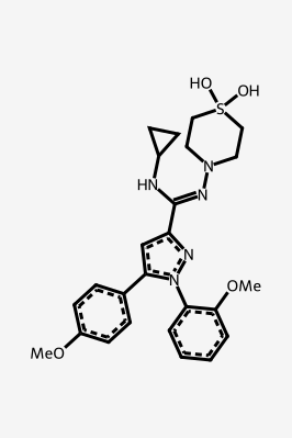 COc1ccc(-c2cc(C(=NN3CCS(O)(O)CC3)NC3CC3)nn2-c2ccccc2OC)cc1